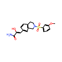 COc1cccc(S(=O)(=O)N2CCc3ccc(/C=C(\O)C(N)=O)cc3C2)c1